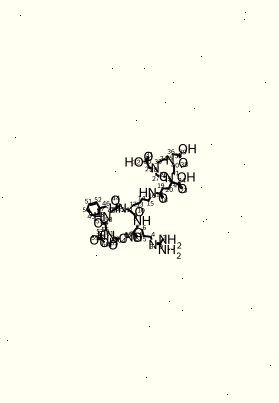 NC(N)=NCCC[C@@H]1NC(=O)[C@H](CCCCNC(=O)CCC(C(=O)O)N2CCN(CC(=O)O)CCN(CC(=O)O)CC2)NC(=O)[C@@H](Cc2ccccc2)NC(=O)[C@H](CC(=O)O)NC(=O)CNC1=O